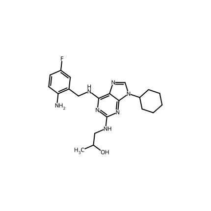 CC(O)CNc1nc(NCc2cc(F)ccc2N)c2ncn(C3CCCCC3)c2n1